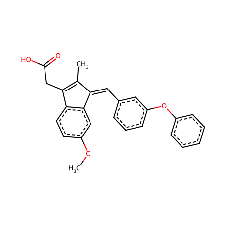 COc1ccc2c(c1)/C(=C\c1cccc(Oc3ccccc3)c1)C(C)=C2CC(=O)O